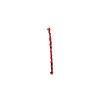 C=CC(=O)OCCOCCOCCOCCOCCOCCOCCOCCOCCOCCOCCOCCOCCOCCOCCOCCOCCOCCOCCOCCOC(=O)C=C